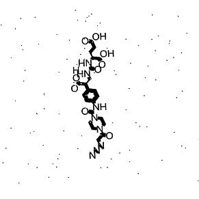 [N-]=[N+]=NCC(=O)N1CCN(C(=O)Nc2ccc([C@H](CNC(=O)N[C@@H](CCC(=O)O)C(=O)O)C(=O)O)cc2)CC1